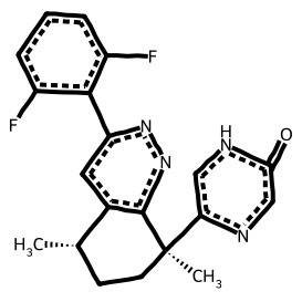 C[C@H]1CC[C@](C)(c2c[nH]c(=O)cn2)c2nnc(-c3c(F)cccc3F)cc21